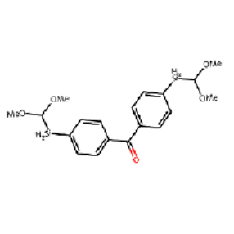 COC(OC)[SiH2]c1ccc(C(=O)c2ccc([SiH2]C(OC)OC)cc2)cc1